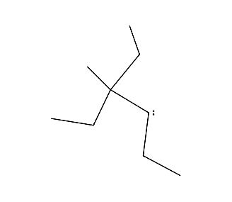 CC[C]C(C)(CC)CC